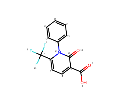 O=C(O)c1ccc(C(F)(F)F)n(-c2ccccc2)c1=O